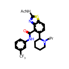 CC(=O)Nc1nc2c(C(=O)Nc3[c]ccc(C(F)(F)F)c3)c(C3CCCCN3C(C)C)ccc2s1